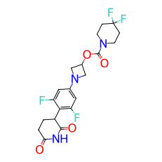 O=C1CCC(c2c(F)cc(N3CC(OC(=O)N4CCC(F)(F)CC4)C3)cc2F)C(=O)N1